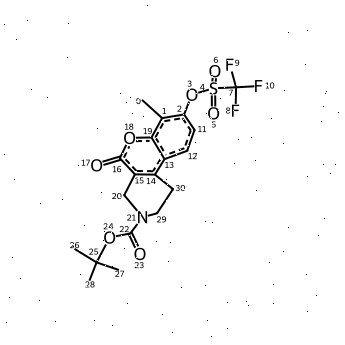 Cc1c(OS(=O)(=O)C(F)(F)F)ccc2c3c(c(=O)oc12)CN(C(=O)OC(C)(C)C)CC3